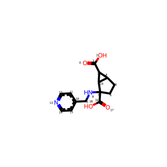 O=C(O)C1C2CCC(NCc3ccncc3)(C(=O)O)C21